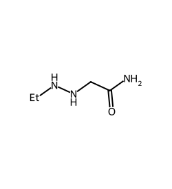 CCNNCC(N)=O